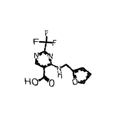 O=C(O)c1cnc(C(F)(F)F)nc1NCc1ccco1